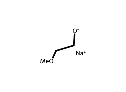 COCC[O-].[Na+]